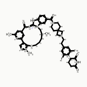 Cc1cc2cc(n1)-c1cnn(C)c1OCCC[C@@H](C)CN1/C(=N/C2=O)Nc2ccc(C(=O)N3CCC4(CC3)CN(CCc3cc(F)c([C@H]5CCC(=O)NC5=O)c(F)c3)C4)cc21